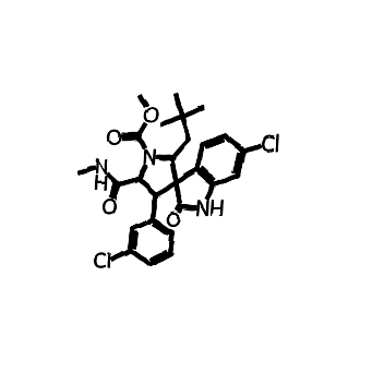 CNC(=O)C1C(c2cccc(Cl)c2)C2(C(=O)Nc3cc(Cl)ccc32)C(CC(C)(C)C)N1C(=O)OC